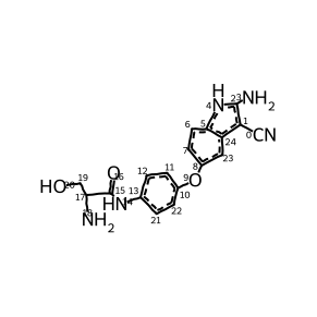 N#Cc1c(N)[nH]c2ccc(Oc3ccc(NC(=O)C(N)CO)cc3)cc12